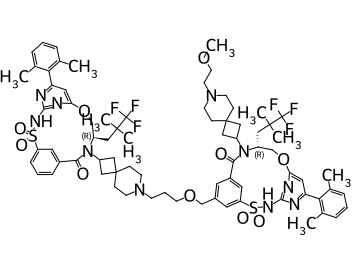 COCCN1CCC2(CC1)CC(N1C(=O)c3cc(COCCCN4CCC5(CC4)CC(N4C(=O)c6cccc(c6)S(=O)(=O)Nc6nc(cc(-c7c(C)cccc7C)n6)OC[C@H]4CC(C)(C)C(F)(F)F)C5)cc(c3)S(=O)(=O)Nc3nc(cc(-c4c(C)cccc4C)n3)OC[C@H]1CC(C)(C)C(F)(F)F)C2